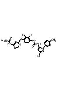 CNC(=O)Nc1cc(Oc2ccc(NC(=O)Nc3cc(O)nn3-c3ccc(C)cc3)c(Cl)c2Cl)ncn1